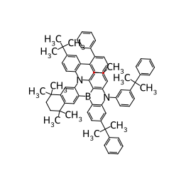 Cc1cc2c3c(c1)N(c1ccc(C(C)(C)C)cc1-c1ccccc1-c1ccccc1)c1cc4c(cc1B3c1ccc(C(C)(C)c3ccccc3)cc1N2c1cccc(C(C)(C)c2ccccc2)c1)C(C)(C)CCC4(C)C